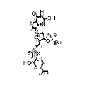 C=C(C)[C@@H]1CC[C@](C)(S[PH](=S)OC[C@H]2O[C@@H](n3cnc4c(=O)[nH]c(O)nc43)CC2O[Si](C)(C)C(C)(C)C)[C@@H](O)C1